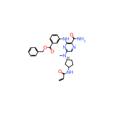 C=CC(=O)NC1CC[C@@H](N(C)c2cnc(C(N)=O)c(Nc3cccc(C(=O)OCc4ccccc4)c3)n2)C1